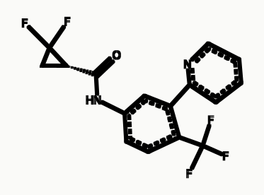 O=C(Nc1ccc(C(F)(F)F)c(-c2ccccn2)c1)[C@@H]1CC1(F)F